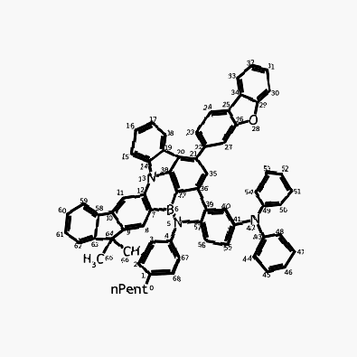 CCCCCc1ccc(N2B3c4cc5c(cc4-n4c6ccccc6c6c(-c7ccc8c(c7)oc7ccccc78)cc(c3c64)-c3cc(N(c4ccccc4)c4ccccc4)ccc32)-c2ccccc2C5(C)C)cc1